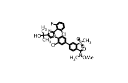 CON(C)C(=O)c1ccc(-c2ccc(-n3cc(C(C)(C)O)nc3-c3c(F)cccc3Cl)c(Cl)c2)cc1S(C)(=O)=O